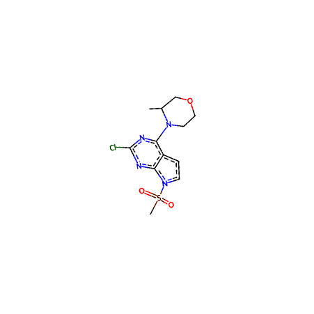 CC1COCCN1c1nc(Cl)nc2c1ccn2S(C)(=O)=O